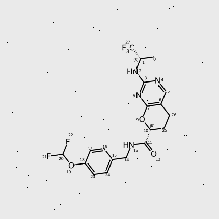 C[C@H](Nc1ncc2c(n1)O[C@@H](C(=O)NCc1ccc(OC(F)F)cc1)CC2)C(F)(F)F